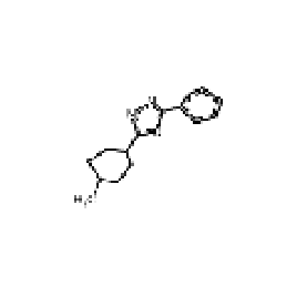 CC1CCC(c2nnc(-c3ccccc3)o2)CC1